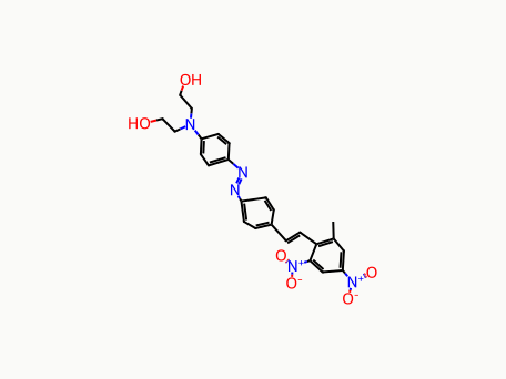 Cc1cc([N+](=O)[O-])cc([N+](=O)[O-])c1C=Cc1ccc(N=Nc2ccc(N(CCO)CCO)cc2)cc1